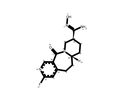 NC(=NO)[C@H]1CC[C@@H]2CCc3cc(F)ncc3C(=O)N2C1